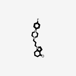 O=C1CCCc2c1ccn2CCCN1CCN(c2ccc(F)cc2)CC1